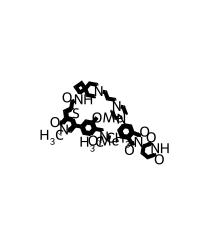 COc1cc(-c2cn(C)c(=O)c3cc(C(=O)NC4CCC45CCN(CCCN4CCN(c6ccc7c(c6)C(=O)N(C6CCC(=O)NC6=O)C7=O)CC4)CC5)sc23)cc(OC)c1CN(C)C